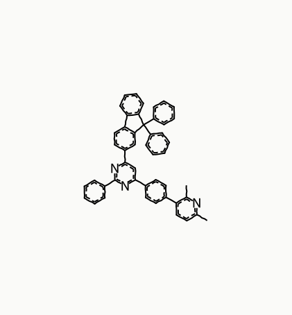 Cc1ccc(-c2ccc(-c3cc(-c4ccc5c(c4)C(c4ccccc4)(c4ccccc4)c4ccccc4-5)nc(-c4ccccc4)n3)cc2)c(C)n1